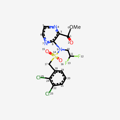 COC(=O)c1nccnc1N(CC(F)F)S(=O)(=O)Cc1cccc(Cl)c1Cl